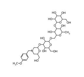 COc1ccc(CN2CC(CO)OC(OC3C(O)C(CO)OC(OCC4OC(C)C(O)C(OC5OC(CO)C(O)C(O)C5O)C4O)C3O)C2)cc1